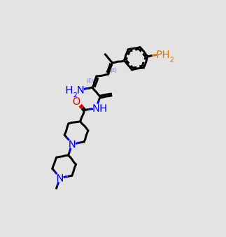 C=C(NC(=O)C1CCN(C2CCN(C)CC2)CC1)/C(N)=C\C=C(/C)c1ccc(P)cc1